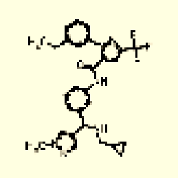 CCc1cccc(-n2nc(C(F)(F)F)cc2C(=O)Nc2cccc(C(NCC3CC3)c3cnn(C)c3)c2)c1